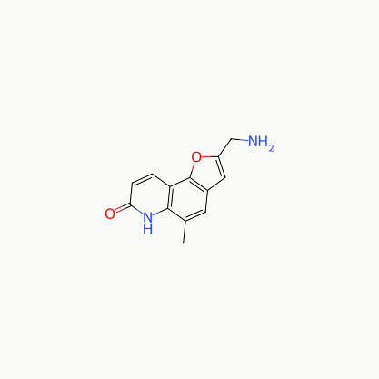 Cc1cc2cc(CN)oc2c2ccc(=O)[nH]c12